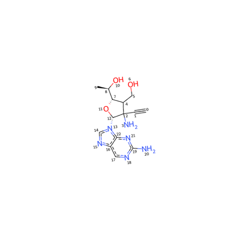 C#CC1(N)C(CO)[C@@H]([C@@H](C)O)O[C@H]1n1cnc2cnc(N)nc21